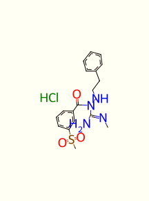 CN=C(N)N(NCCc1ccccc1)C(=O)c1cccc(S(C)(=O)=O)c1.Cl